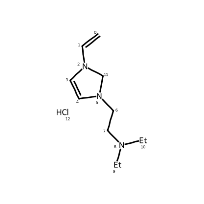 C=CN1C=CN(CCN(CC)CC)C1.Cl